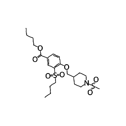 CCCCOC(=O)c1ccc(OCC2CCN(S(C)(=O)=O)CC2)c(S(=O)(=O)CCCC)c1